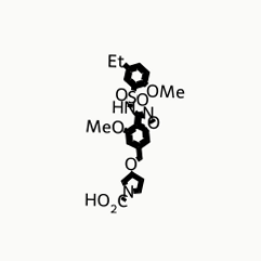 CCc1ccc(OC)c(S(=O)(=O)Nc2noc3cc(CO[C@@H]4CCN(C(=O)O)C4)cc(OC)c23)c1